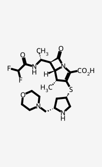 C[C@@H](NC(=O)C(F)F)[C@H]1C(=O)N2C(C(=O)O)=C(S[C@@H]3CN[C@H](CN4CCOCC4)C3)[C@H](C)[C@H]12